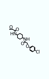 O=C(COc1ccc(Cl)cc1)NC1CCC(NC(=O)C2CO2)CC1